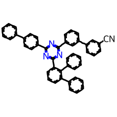 N#Cc1cccc(-c2cccc(-c3nc(-c4ccc(-c5ccccc5)cc4)nc(-c4cccc(-c5ccccc5)c4-c4ccccc4)n3)c2)c1